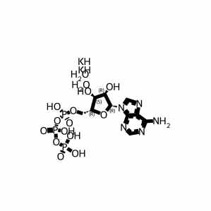 Nc1ncnc2c1ncn2[C@@H]1O[C@H](COP(=O)(O)OP(=O)(O)OP(=O)(O)O)[C@@H](O)[C@H]1O.O.O.[KH].[KH]